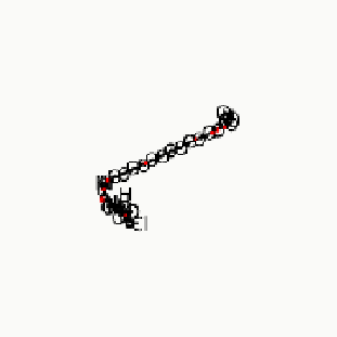 O=C(CCOCCOCCOCCOCCOCCOCCOCCOCCOCCOCCOCCOCCn1cc(-c2cccc(NC(=O)N3CCC4(CC3)NC(=O)N(c3cccc(Cl)c3)C4=O)c2)nn1)ON1C(=O)CCC1=O